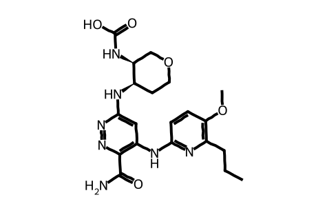 CCCc1nc(Nc2cc(N[C@@H]3CCOC[C@@H]3NC(=O)O)nnc2C(N)=O)ccc1OC